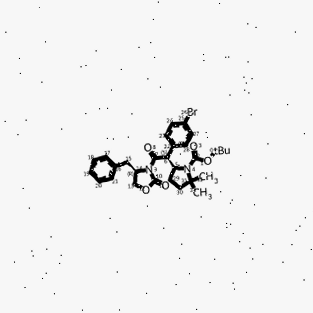 CC(C)(C)OC(=O)N1C([C@@H](C(=O)N2C(=O)OC[C@H]2Cc2ccccc2)c2ccc(Br)cc2)CCC1(C)C